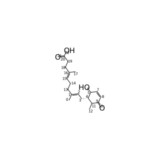 C/C(=C\C[C@@H]1C(O)C=CC(=O)C1C)CC/C=C(\C)CCC(=O)O